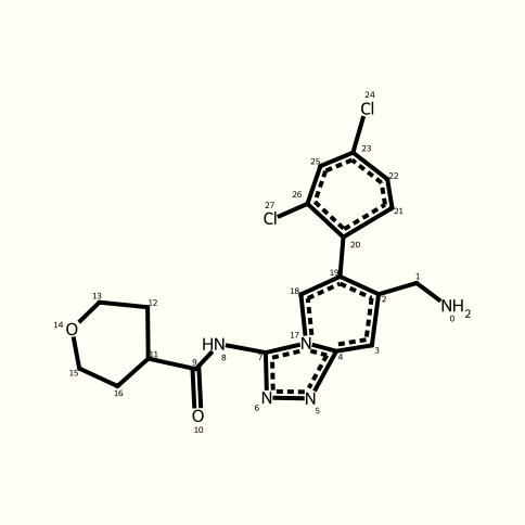 NCc1cc2nnc(NC(=O)C3CCOCC3)n2cc1-c1ccc(Cl)cc1Cl